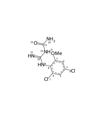 COc1cc(Cl)cc(Cl)c1NC(=N)NC(N)=O